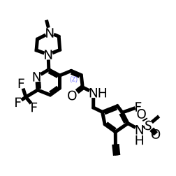 C#Cc1cc(CNC(=O)/C=C\c2ccc(C(F)(F)F)nc2N2CCN(C)CC2)cc(F)c1NS(C)(=O)=O